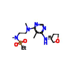 CCS(=O)(=O)N(C)CCN(C)c1ncnc(N[C@@H]2CCOC2)c1C